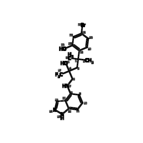 CC(C)(CC(O)(CNc1cccc2[nH]ncc12)C(F)(F)F)c1ccc(Br)cc1O